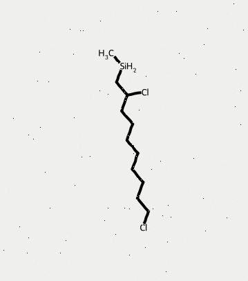 C[SiH2]CC(Cl)CCCCCCCCCl